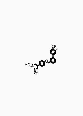 O=C(O)CC(C=NO)c1ccc(OCc2cccc(-c3ccc(C(F)(F)F)cc3)c2)cc1